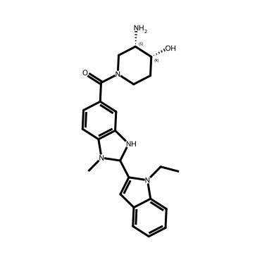 CCn1c(C2Nc3cc(C(=O)N4CC[C@@H](O)[C@@H](N)C4)ccc3N2C)cc2ccccc21